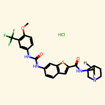 COc1ccc(NC(=O)Nc2ccc3cc(C(=O)N[C@H]4CN5CCC4CC5)sc3c2)cc1C(F)(F)F.Cl